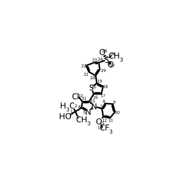 CC(C)(O)c1nn(-c2ccccc2OC(F)(F)F)c(-c2ccc(-c3cccc(S(C)(=O)=O)c3)s2)c1Cl